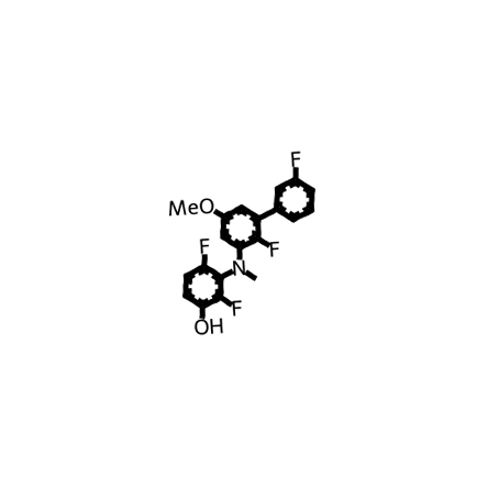 COc1cc(-c2cccc(F)c2)c(F)c(N(C)c2c(F)ccc(O)c2F)c1